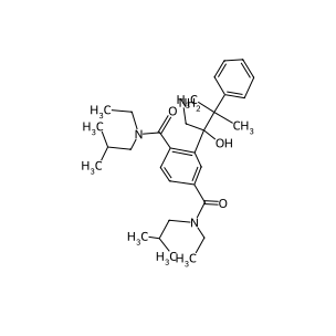 CCN(CC(C)C)C(=O)c1ccc(C(=O)N(CC)CC(C)C)c(C(O)(CN)C(C)(C)c2ccccc2)c1